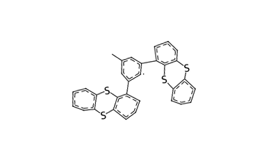 Cc1cc(-c2cccc3c2Sc2ccccc2S3)[c]c(-c2cccc3c2Sc2ccccc2S3)c1